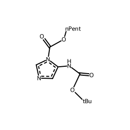 CCCCCOC(=O)n1cncc1NC(=O)OC(C)(C)C